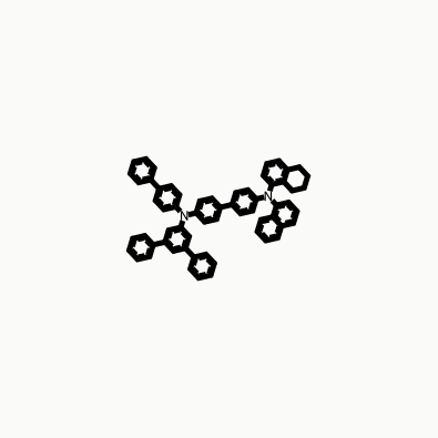 c1ccc(-c2ccc(N(c3ccc(-c4ccc(N(c5cccc6c5CCCC6)c5cccc6ccccc56)cc4)cc3)c3cc(-c4ccccc4)cc(-c4ccccc4)c3)cc2)cc1